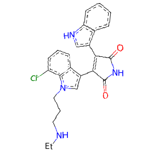 CCNCCCn1cc(C2=C(c3c[nH]c4ccccc34)C(=O)NC2=O)c2cccc(Cl)c21